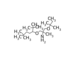 CCC(C)(C)OCC(C)(N)COC(CCC(C)(C)C)C(C)(C)C